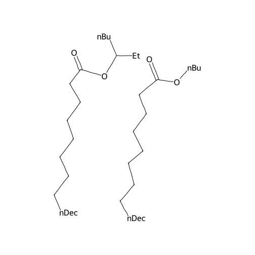 CCCCCCCCCCCCCCCCCC(=O)OC(CC)CCCC.CCCCCCCCCCCCCCCCCC(=O)OCCCC